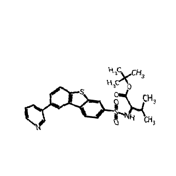 CC(C)C(NS(=O)(=O)c1ccc2c(c1)sc1ccc(-c3cccnc3)cc12)C(=O)OC(C)(C)C